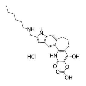 CCCCCCNCc1cc2cc3c(cc2n1C)CCCc1c-3[nH]c(=O)c(OC(=O)O)c1O.Cl